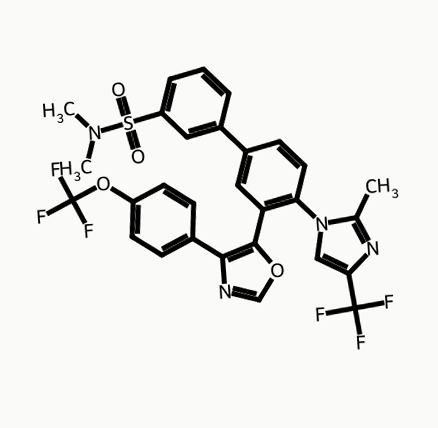 Cc1nc(C(F)(F)F)cn1-c1ccc(-c2cccc(S(=O)(=O)N(C)C)c2)cc1-c1ocnc1-c1ccc(OC(F)(F)F)cc1